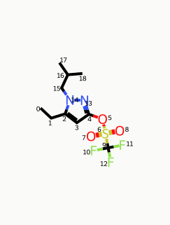 CCc1cc(OS(=O)(=O)C(F)(F)F)nn1CC(C)C